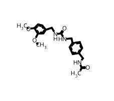 COc1ccc(CNC(=O)NCc2ccc(CNC(C)=O)cc2)cc1OC